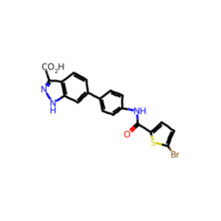 O=C(Nc1ccc(-c2ccc3c(C(=O)O)n[nH]c3c2)cc1)c1ccc(Br)s1